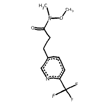 CON(C)C(=O)CCc1ccc(C(F)(F)F)nc1